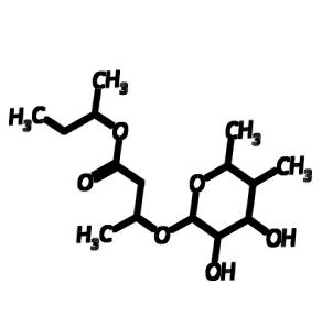 CCC(C)OC(=O)CC(C)OC1OC(C)C(C)C(O)C1O